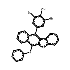 Oc1c(Br)cc(-c2c3ccccc3c(Sc3ccncc3)c3sc4ccccc4c23)cc1Br